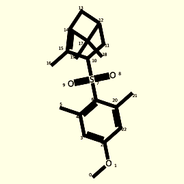 COc1cc(C)c(S(=O)(=O)C2CC3CC(=C2C)C3(C)C)c(C)c1